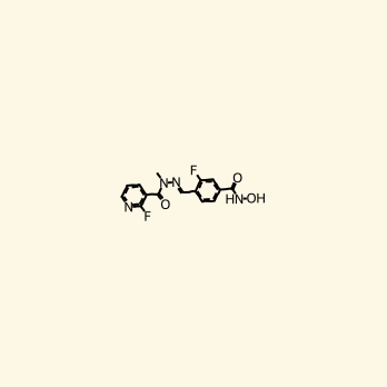 CN(/N=C/c1ccc(C(=O)NO)cc1F)C(=O)c1cccnc1F